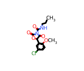 CCCNC(=O)N1C(=O)OC(c2cc(Cl)ccc2OC)C1=O